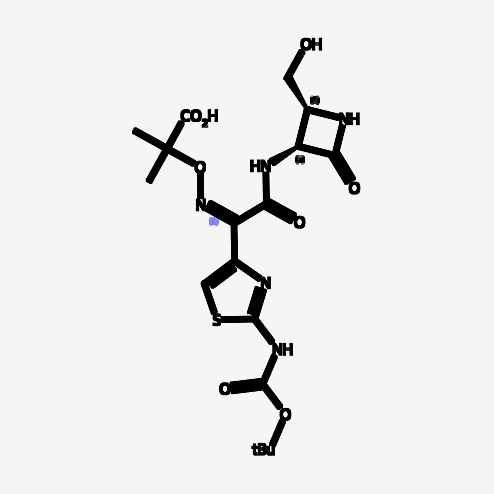 CC(C)(C)OC(=O)Nc1nc(/C(=N/OC(C)(C)C(=O)O)C(=O)N[C@@H]2C(=O)N[C@@H]2CO)cs1